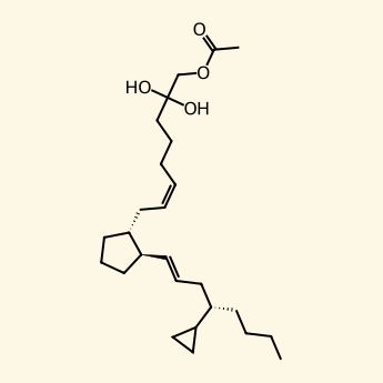 CCCC[C@@H](C/C=C/[C@H]1CCC[C@@H]1C/C=C\CCCC(O)(O)COC(C)=O)C1CC1